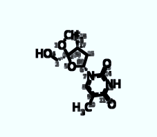 CO[C@]1(CO)O[C@@H](n2cc(C)c(=O)[nH]c2=O)C[C@@H]1F